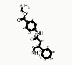 CCOC(=O)c1ccc(NC(=O)CC(CN)c2ccccc2)cc1